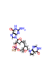 Nc1nc2c(ncn2[C@@H]2O[C@H]3CC4C[C@H](n5ccc6c(=O)[nH]cnc65)O[C@@H]4COP(=O)(S)O[C@@H]2C3)c(=O)[nH]1